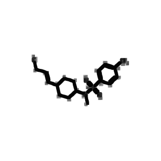 CN(C1CCC(C=CCCl)CC1)S(=O)(=O)c1ccc(C(F)(F)F)cc1